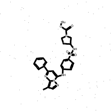 Cc1cnn2c(Nc3ccc(S(=O)(=O)NC4CCN(C(=O)OC(C)(C)C)C4)cc3)cc(-c3ccccc3)nc12